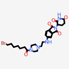 O=C1CCC(N2C(=O)c3ccc(NCCN4CCN(C(=O)CCCCCCBr)CC4)cc3C2=O)C(=O)N1